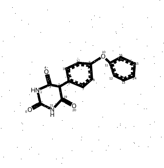 O=C1NC(=O)C(c2ccc(Oc3ccccc3)cc2)C(=O)N1